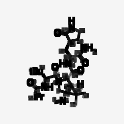 C=N[C@]12CN(C(=O)[C@@H](NC(=O)C(C)C)C(C)(C)C)[C@H](C(=O)N[C@@H](C[C@@H]3CCNC3=O)C(N)=O)[C@H]1C2(C)C